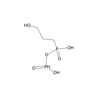 O=[PH](O)OP(=O)(O)CCCO